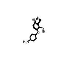 CCSc1c(OC2CCC(N)CC2)ccc2[nH]ncc12